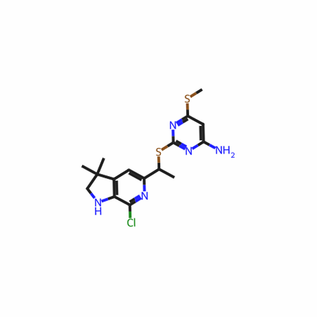 CSc1cc(N)nc(SC(C)c2cc3c(c(Cl)n2)NCC3(C)C)n1